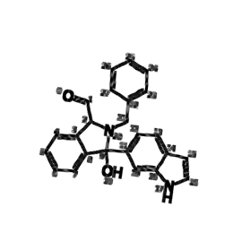 O=CC1c2ccccc2C(O)(c2ccc3cc[nH]c3c2)N1Cc1ccccc1